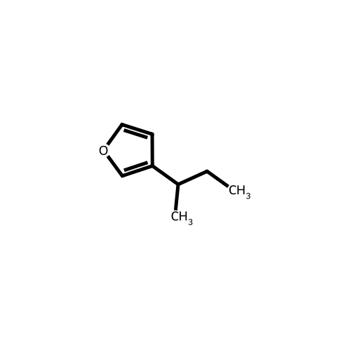 CCC(C)c1ccoc1